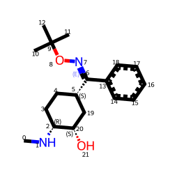 CN[C@@H]1CC[C@H](/C(=N\OC(C)(C)C)c2ccccc2)C[C@@H]1O